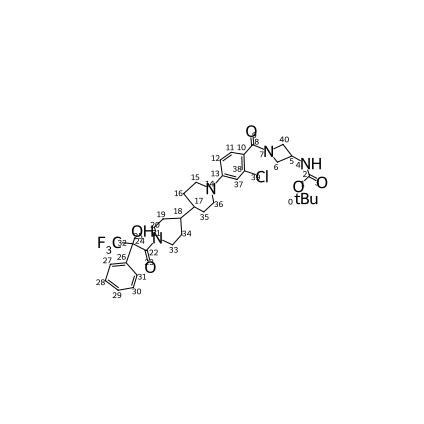 CC(C)(C)OC(=O)NC1CN(C(=O)c2ccc(N3CCC(C4CCN(C(=O)C(O)(c5ccccc5)C(F)(F)F)CC4)CC3)cc2Cl)C1